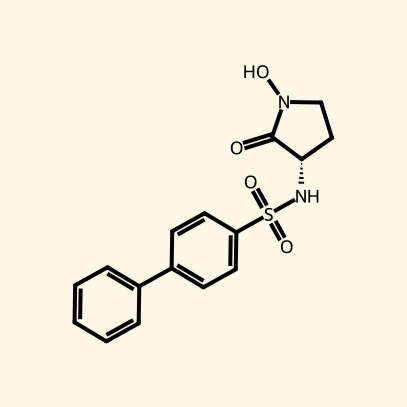 O=C1[C@@H](NS(=O)(=O)c2ccc(-c3ccccc3)cc2)CCN1O